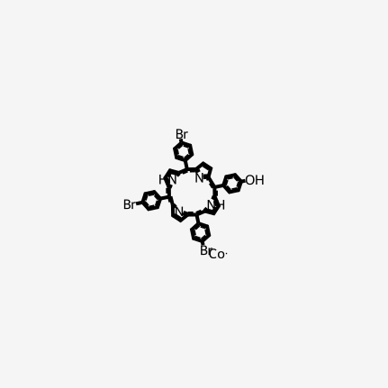 Oc1ccc(-c2c3nc(c(-c4ccc(Br)cc4)c4ccc([nH]4)c(-c4ccc(Br)cc4)c4nc(c(-c5ccc(Br)cc5)c5ccc2[nH]5)C=C4)C=C3)cc1.[Co]